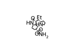 CCC(=C1C(=O)Nc2ccc(S(N)(=O)=O)cc21)c1ccc[nH]1